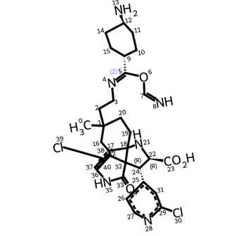 CC1(CC/N=C(\OC=N)[C@H]2CC[C@H](N)CC2)CCC2(CC1)N[C@@H](C(=O)O)[C@H](c1ccnc(Cl)c1)C21C(=O)Nc2cc(Cl)ccc21